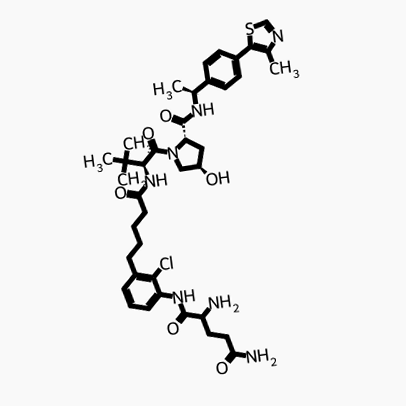 Cc1ncsc1-c1ccc([C@H](C)NC(=O)[C@@H]2C[C@@H](O)CN2C(=O)[C@@H](NC(=O)CCCCc2cccc(NC(=O)C(N)CCC(N)=O)c2Cl)C(C)(C)C)cc1